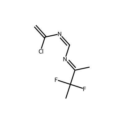 C=C(Cl)/N=C\N=C(/C)C(C)(F)F